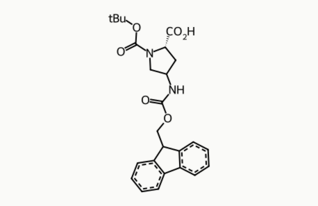 CC(C)(C)OC(=O)N1CC(NC(=O)OCC2c3ccccc3-c3ccccc32)C[C@H]1C(=O)O